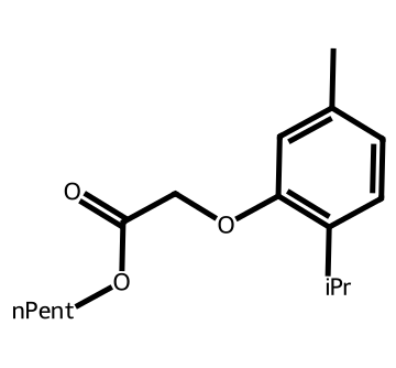 CCCCCOC(=O)COc1cc(C)ccc1C(C)C